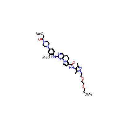 COCCOCCOCCn1nc(C)c(NC(=O)c2ccn3c2CCc2cnc(Nc4ccc(N5CCN(C(=O)COC)CC5)cc4OC)nc2-3)c1C